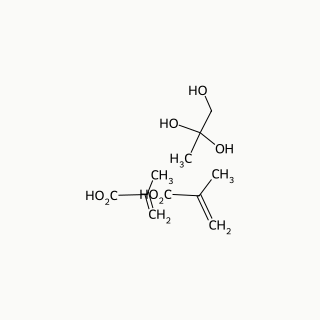 C=C(C)C(=O)O.C=C(C)C(=O)O.CC(O)(O)CO